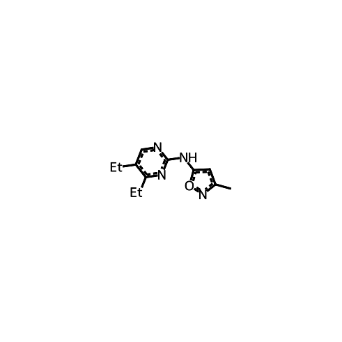 CCc1cnc(Nc2cc(C)no2)nc1CC